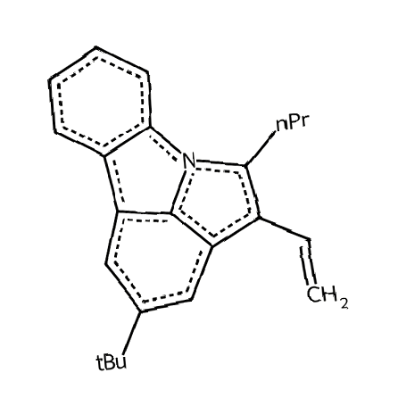 C=Cc1c(CCC)n2c3ccccc3c3cc(C(C)(C)C)cc1c32